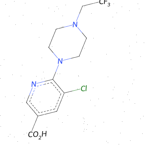 O=C(O)c1cnc(N2CCN(CC(F)(F)F)CC2)c(Cl)c1